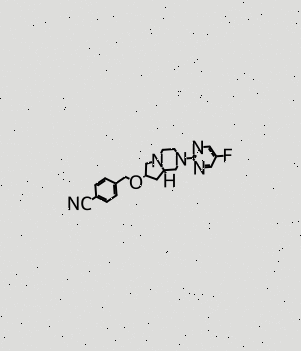 N#Cc1ccc(CO[C@H]2C[C@H]3CN(c4ncc(F)cn4)CCN3C2)cc1